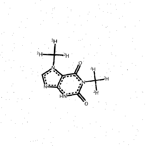 [2H]C([2H])([2H])n1c(=O)[nH]c2ncn(C([2H])([2H])[2H])c2c1=O